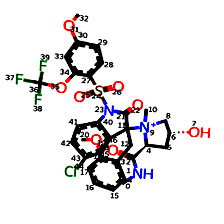 CNC(=O)[C@@H]1C[C@@H](O)C[N+]1(C)C1(Cc2ccccc2OC)C(=O)N(S(=O)(=O)c2ccc(OC)cc2OC(F)(F)F)c2ccc(Cl)cc21